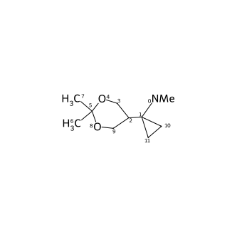 CNC1(C2COC(C)(C)OC2)CC1